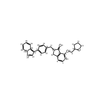 O=C1c2c(ccnc2OCC2CCCO2)CN1Cc1ccc(-c2cnn3ccccc23)cc1